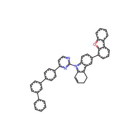 C1=Cc2c(c3cc(-c4cccc5c4oc4ccccc45)ccc3n2-c2nccc(-c3ccc(-c4cccc(-c5ccccc5)c4)cc3)n2)CC1